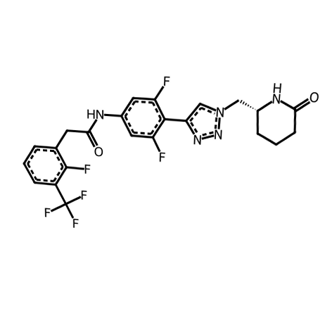 O=C(Cc1cccc(C(F)(F)F)c1F)Nc1cc(F)c(-c2cn(C[C@H]3CCCC(=O)N3)nn2)c(F)c1